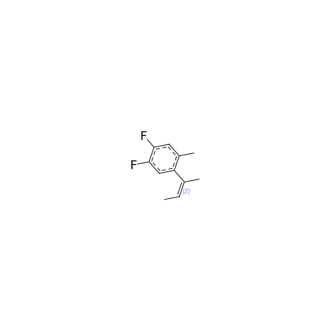 C/C=C(/C)c1cc(F)c(F)cc1C